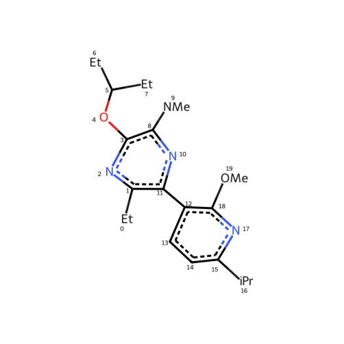 CCc1nc(OC(CC)CC)c(NC)nc1-c1ccc(C(C)C)nc1OC